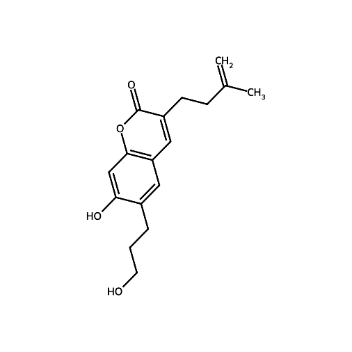 C=C(C)CCc1cc2cc(CCCO)c(O)cc2oc1=O